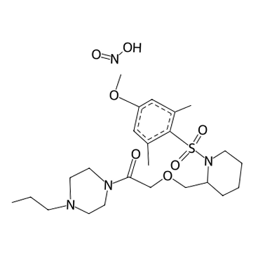 CCCN1CCN(C(=O)COCC2CCCCN2S(=O)(=O)c2c(C)cc(OC)cc2C)CC1.O=NO